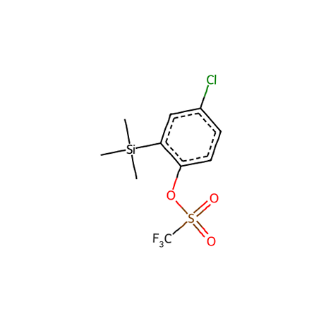 C[Si](C)(C)c1cc(Cl)ccc1OS(=O)(=O)C(F)(F)F